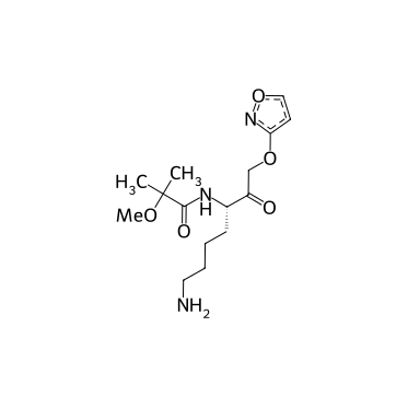 COC(C)(C)C(=O)N[C@@H](CCCCN)C(=O)COc1ccon1